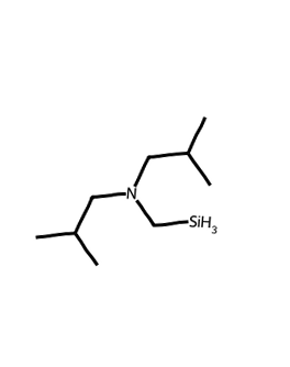 CC(C)CN(C[SiH3])CC(C)C